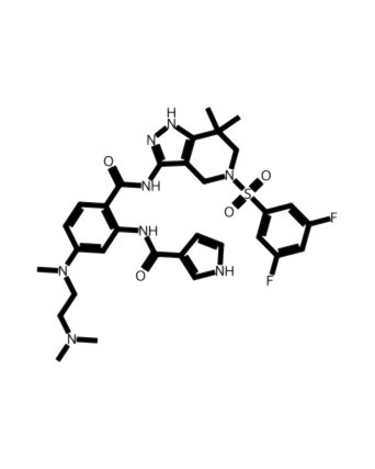 CN(C)CCN(C)c1ccc(C(=O)Nc2n[nH]c3c2CN(S(=O)(=O)c2cc(F)cc(F)c2)CC3(C)C)c(NC(=O)c2cc[nH]c2)c1